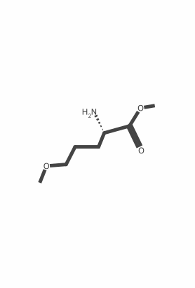 COCCC[C@H](N)C(=O)OC